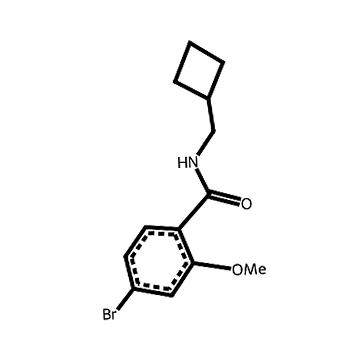 COc1cc(Br)ccc1C(=O)NCC1CCC1